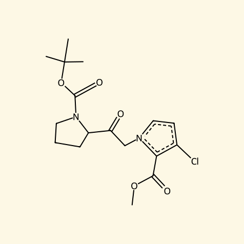 COC(=O)c1c(Cl)ccn1CC(=O)C1CCCN1C(=O)OC(C)(C)C